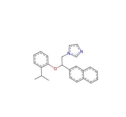 CC(C)c1ccccc1OC(Cn1ccnc1)c1ccc2ccccc2c1